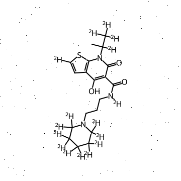 [2H]c1cc2c(O)c(C(=O)N([2H])CCCN3C([2H])([2H])C([2H])([2H])C([2H])([2H])C([2H])([2H])C3([2H])[2H])c(=O)n(C([2H])(C)C([2H])([2H])[2H])c2s1